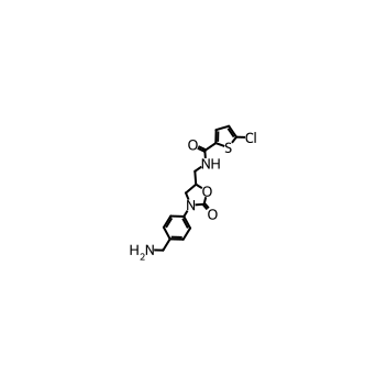 NCc1ccc(N2CC(CNC(=O)c3ccc(Cl)s3)OC2=O)cc1